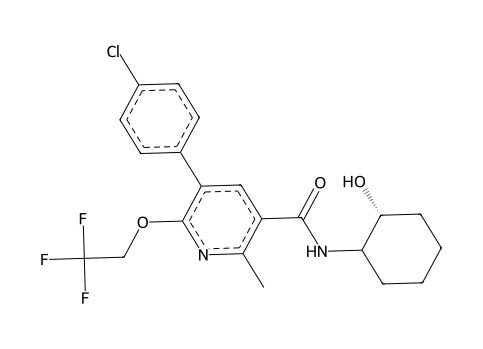 Cc1nc(OCC(F)(F)F)c(-c2ccc(Cl)cc2)cc1C(=O)NC1CCCC[C@H]1O